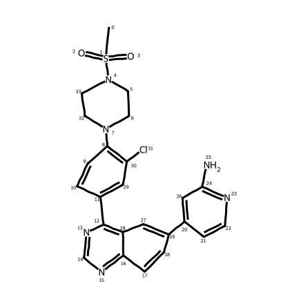 CS(=O)(=O)N1CCN(c2ccc(-c3ncnc4ccc(-c5ccnc(N)c5)cc34)cc2Cl)CC1